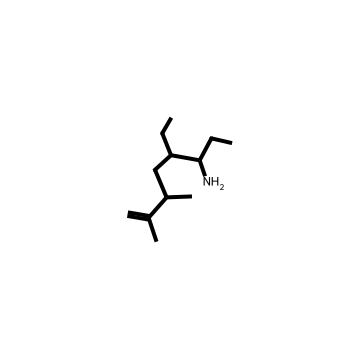 C=C(C)C(C)CC(CC)C(N)CC